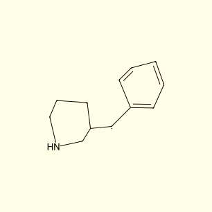 [CH](c1ccccc1)C1CCCNC1